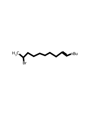 CCCCC=CCCCCCCC(C)Br